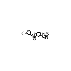 CSc1nccc(-c2ccc3c(c2)C(=O)N(Cc2cccc(Cl)c2)C3)n1